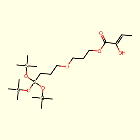 CC=C(O)C(=O)OCCCOCCC[Si](O[Si](C)(C)C)(O[Si](C)(C)C)O[Si](C)(C)C